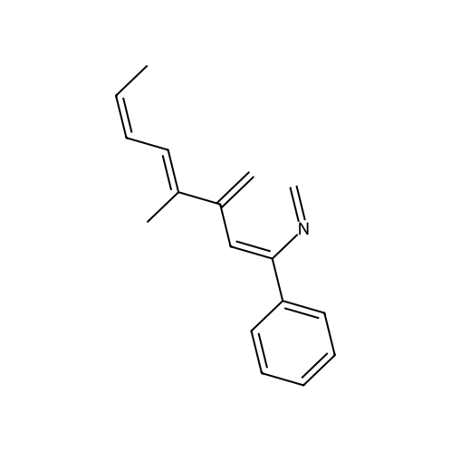 C=N/C(=C\C(=C)/C(C)=C/C=C\C)c1ccccc1